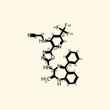 C=C1Nc2ccccc2C(c2ccccc2)=N[C@@H]1Nc1nnc(-c2ncc(C(F)(F)F)cc2NCC#N)o1